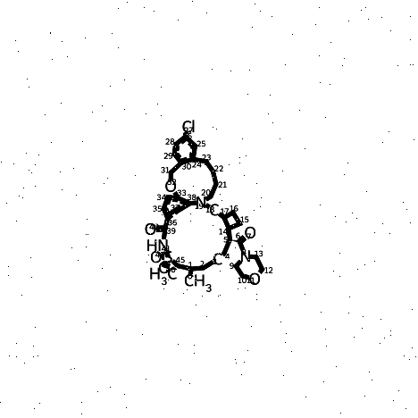 CC1CCC[C@@H](C(=O)N2CCOCC2)C2CCC2CN2CCCCc3cc(Cl)ccc3COc3ccc(cc32)C(=O)NS(=O)(=O)C1C